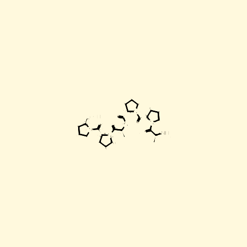 C[C@H](N)C(=O)N1CCC[C@H]1C(=O)N1CCC[C@H]1C(=O)N[C@@H](C)C(=O)N1CCC[C@H]1C(=O)N1CCC[C@H]1C(=O)O